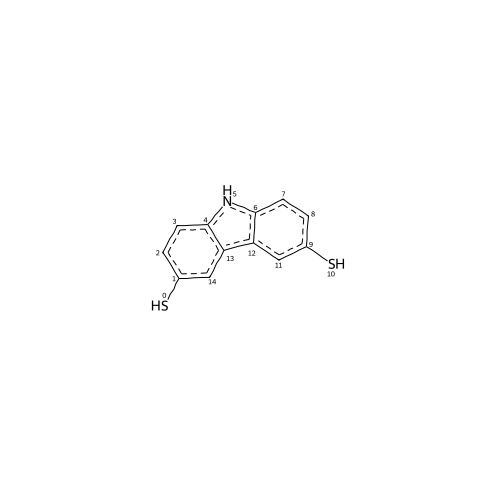 Sc1ccc2[nH]c3ccc(S)cc3c2c1